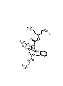 CCCC(CCC)OC(=O)N[C@@H](CC(C)C)C(=O)N[C@@H](Cc1ccccc1)C(=O)C(=O)NCC